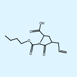 C=CCC1CC(C(=O)O)N(C(=O)OCCCC)C1=O